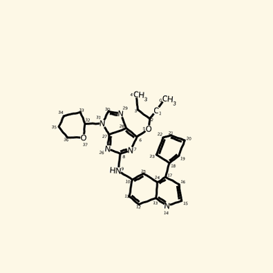 CCC(CC)Oc1nc(Nc2ccc3nccc(-c4ccccc4)c3c2)nc2c1ncn2C1CCCCO1